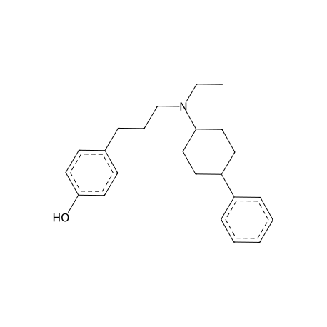 CCN(CCCc1ccc(O)cc1)C1CCC(c2ccccc2)CC1